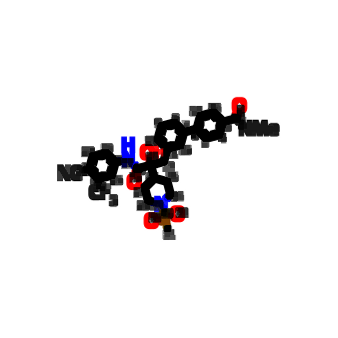 CNC(=O)c1ccc(-c2cccc(CC(O)(C(=O)Nc3ccc(C#N)c(C(F)(F)F)c3)C3CCN(S(C)(=O)=O)CC3)c2)cc1